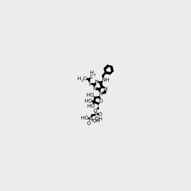 CC(C)Sc1nc(NCc2ccccc2)c2ncn([C@@H]3O[C@H](COP(=O)(O)CP(=O)(O)O)C(O)(O)[C@H]3O)c2n1